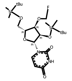 CC(C)(C)[Si](C)(C)OC[C@H]1O[C@@H](n2ccc(=O)[nH]c2=O)[C@H](O[Si](C)(C)C(C)(C)C)[C@@H]1OCF